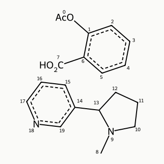 CC(=O)Oc1ccccc1C(=O)O.CN1CCCC1c1cccnc1